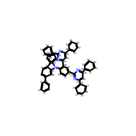 c1ccc(-c2ccc3c4ccccc4n(-c4ccc(-c5nc(-c6ccccc6)cc(-c6ccccc6)n5)cc4-c4cc(-c5ccccc5)nc(-c5ccccc5)n4)c3c2)cc1